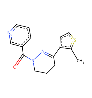 Cc1sccc1C1=NN(C(=O)c2cccnc2)CCC1